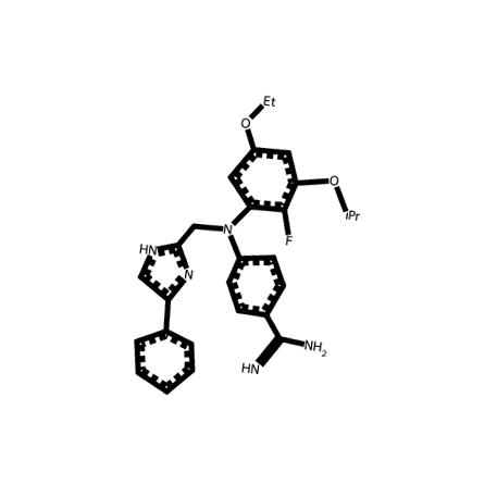 CCOc1cc(OC(C)C)c(F)c(N(Cc2nc(-c3ccccc3)c[nH]2)c2ccc(C(=N)N)cc2)c1